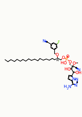 CCCCCCCCCCCCCCCCCC[C@H](COP(=O)(O)OC[C@@](C#N)(OC)[C@@H](O)[C@@H](O)c1ccc2c(N)ncnn12)OCc1cc(F)cc(C#N)c1